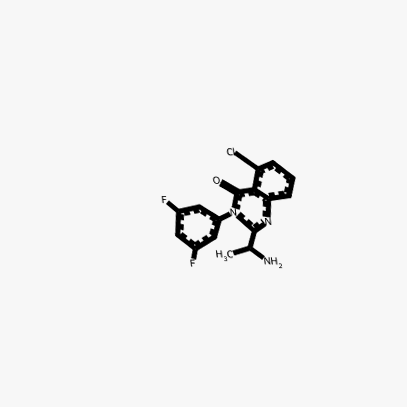 CC(N)c1nc2cccc(Cl)c2c(=O)n1-c1cc(F)cc(F)c1